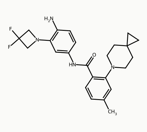 Cc1ccc(C(=O)Nc2ccc(N)c(N3CC(F)(F)C3)c2)c(N2CCC3(CC2)CC3)c1